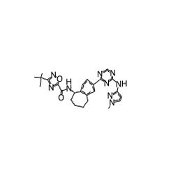 Cn1ccc(Nc2ncnc(-c3ccc4c(c3)CCCC[C@H]4NC(=O)c3nc(C(C)(C)C)no3)n2)n1